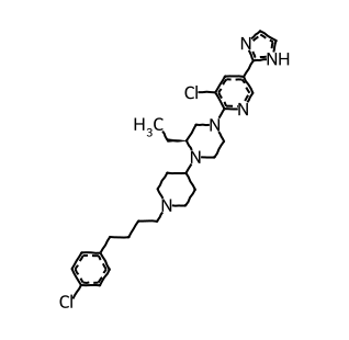 CC[C@H]1CN(c2ncc(-c3ncc[nH]3)cc2Cl)CCN1C1CCN(CCCCc2ccc(Cl)cc2)CC1